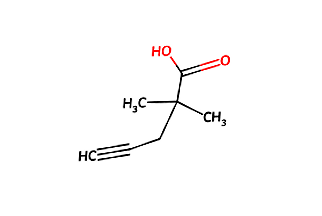 C#CCC(C)(C)C(=O)O